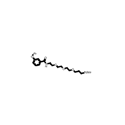 CNCCCOCCOCCOCCNC(=O)c1cccc(OC(C)C)c1